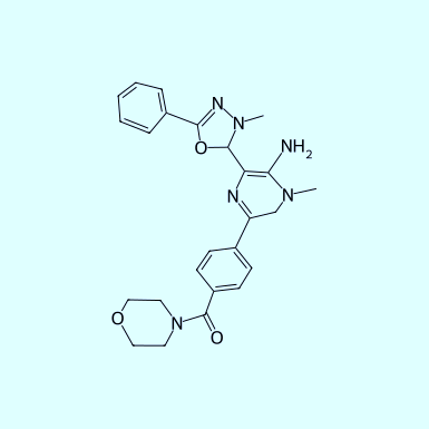 CN1CC(c2ccc(C(=O)N3CCOCC3)cc2)=NC(C2OC(c3ccccc3)=NN2C)=C1N